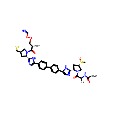 COC(=O)N[C@H](C(=O)N1C[C@@H]([S+](C)[O-])C[C@H]1c1ncc(-c2ccc(-c3ccc(-c4cnc([C@@H]5CC(CS)CN5C(=O)[C@@H](COOC=N)C(C)C)[nH]4)cc3)cc2)[nH]1)C(C)C